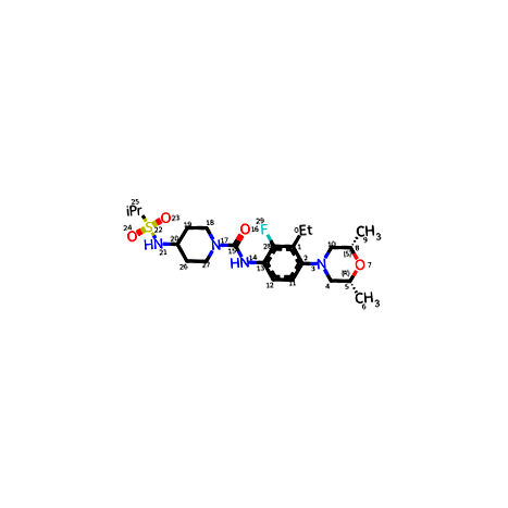 CCc1c(N2C[C@@H](C)O[C@@H](C)C2)ccc(NC(=O)N2CCC(NS(=O)(=O)C(C)C)CC2)c1F